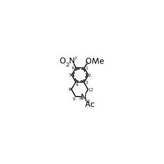 COc1cc2c(cc1[N+](=O)[O-])CCN(C(C)=O)C2